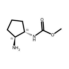 COC(=O)N[C@H]1CCC[C@@H]1N